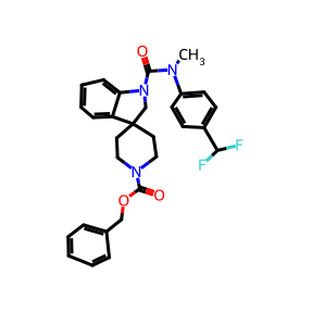 CN(C(=O)N1CC2(CCN(C(=O)OCc3ccccc3)CC2)c2ccccc21)c1ccc(C(F)F)cc1